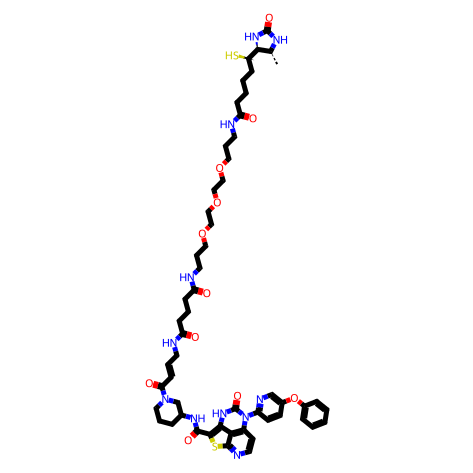 C[C@H]1NC(=O)N[C@H]1[C@H](S)CCCCC(=O)NCCCOCCOCCOCCCNC(=O)CCCC(=O)NC/C=C/C(=O)N1CCCC(NC(=O)c2sc3nccc4c3c2NC(=O)N4c2ccc(Oc3ccccc3)cn2)C1